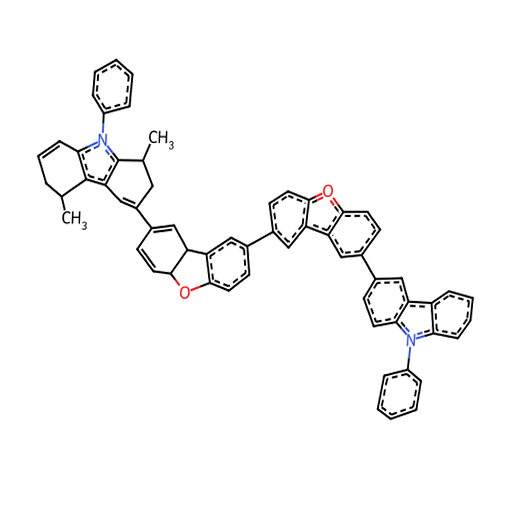 CC1CC=Cc2c1c1c(n2-c2ccccc2)C(C)CC(C2=CC3c4cc(-c5ccc6oc7ccc(-c8ccc9c(c8)c8ccccc8n9-c8ccccc8)cc7c6c5)ccc4OC3C=C2)=C1